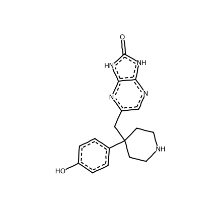 O=c1[nH]c2ncc(CC3(c4ccc(O)cc4)CCNCC3)nc2[nH]1